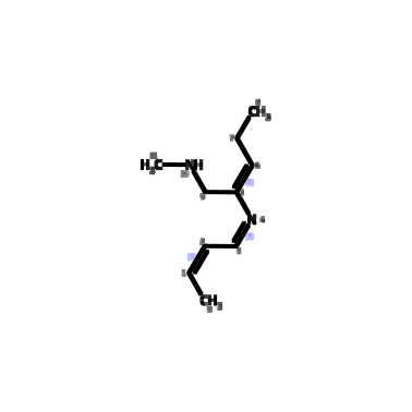 C\C=C/C=N\C(=C\CC)CNC